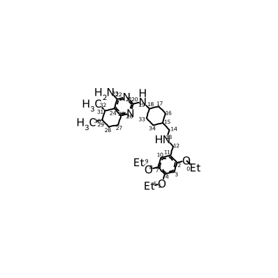 CCOc1cc(OCC)c(OCC)cc1CNCC1CCC(Nc2nc(N)c3c(n2)CC[C@@H](C)[C@H]3C)CC1